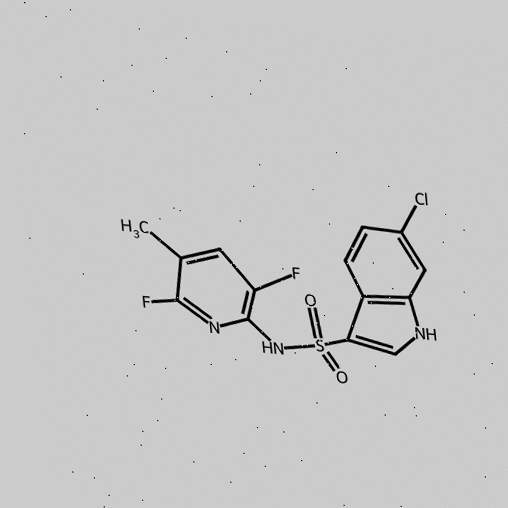 Cc1cc(F)c(NS(=O)(=O)c2c[nH]c3cc(Cl)ccc23)nc1F